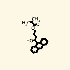 C=C(C)C(=O)OCCCC(O)c1c2ccccc2cc2ccccc12